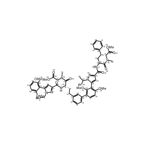 CCC(C)Cn1nc(C(=O)N[C@@H](CCc2cccc(-c3ccc(OC)c(-c4cc(C(=O)N[C@@H](CCc5ccccc5)C(=O)N(C)CC(=O)OC)nn4C(C)C(C)C)c3OC)c2)C(=O)N(C)CC(=O)OC)cc1-c1c(OC)cccc1OC